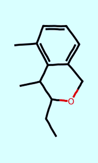 CCC1OCc2cccc(C)c2C1C